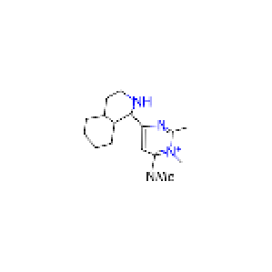 CNc1cc(C2NCCC3CCCCC32)nc(C)[n+]1C